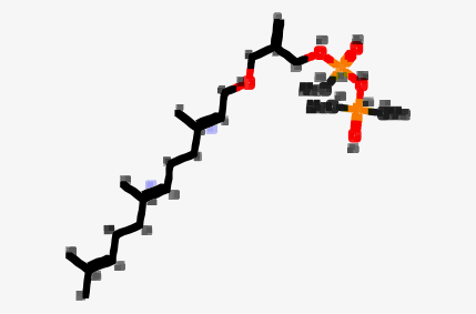 C=C(COC/C=C(\C)CC/C=C(\C)CCC=C(C)C)COP(=O)(OC)OP(=O)(OC)OC